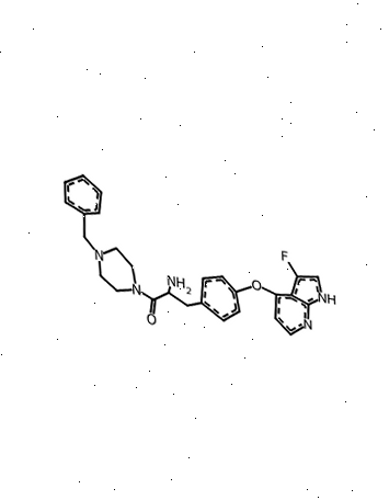 NC(Cc1ccc(Oc2ccnc3[nH]cc(F)c23)cc1)C(=O)N1CCN(Cc2ccccc2)CC1